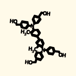 Cc1cc(-c2ccc(N(c3ccc(CO)cc3)c3ccc(CO)cc3)c(C)c2)ccc1N(c1ccc(CO)cc1)c1ccc(CO)cc1